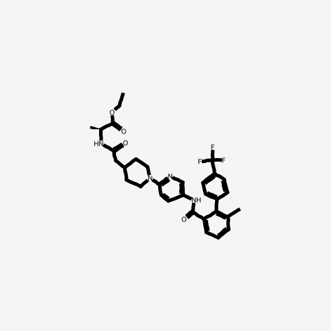 CCOC(=O)[C@H](C)NC(=O)CC1CCN(c2ccc(NC(=O)c3cccc(C)c3-c3ccc(C(F)(F)F)cc3)cn2)CC1